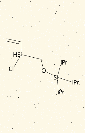 C=C[SiH](Cl)CO[Si](C(C)C)(C(C)C)C(C)C